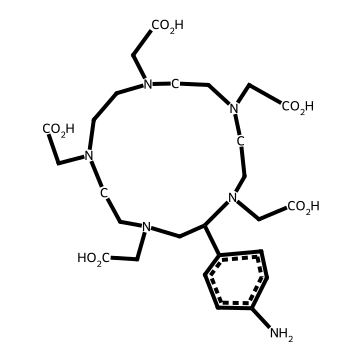 Nc1ccc(C2CN(CC(=O)O)CCN(CC(=O)O)CCN(CC(=O)O)CCN(CC(=O)O)CCN2CC(=O)O)cc1